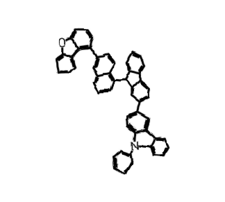 c1ccc(-n2c3ccccc3c3cc(-c4ccc5c(c4)C(c4cccc6cc(-c7cccc8oc9ccccc9c78)ccc46)c4ccccc4-5)ccc32)cc1